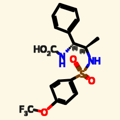 C[C@@H](NS(=O)(=O)c1ccc(OC(F)(F)F)cc1)[C@H](NC(=O)O)c1ccccc1